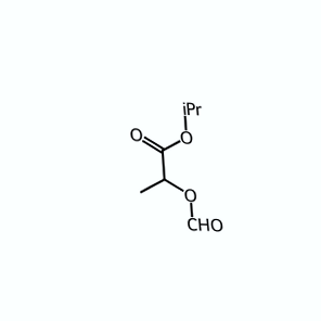 CC(C)OC(=O)C(C)OC=O